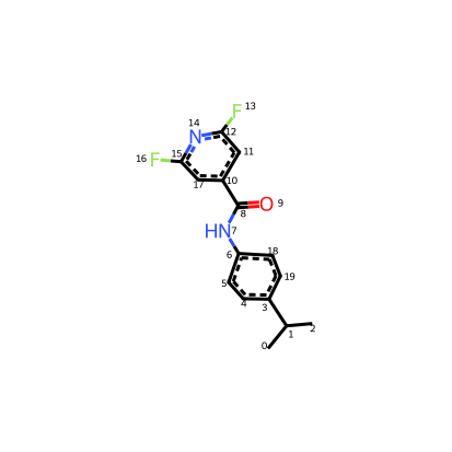 CC(C)c1ccc(NC(=O)c2cc(F)nc(F)c2)cc1